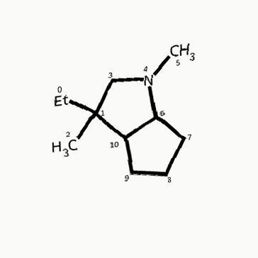 CCC1(C)CN(C)C2CCCC21